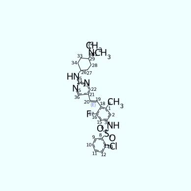 Cc1cc(NS(=O)(=O)c2ccccc2Cl)cc(F)c1/C=C/c1cnc(NC2CCC(N(C)C)CC2)nc1